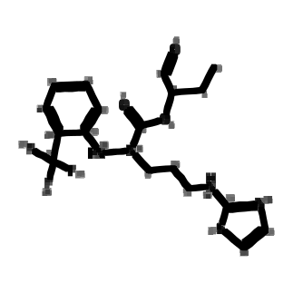 CCC(C=O)OC(=O)N(CCCNc1nccs1)Nc1ccccc1C(F)(F)F